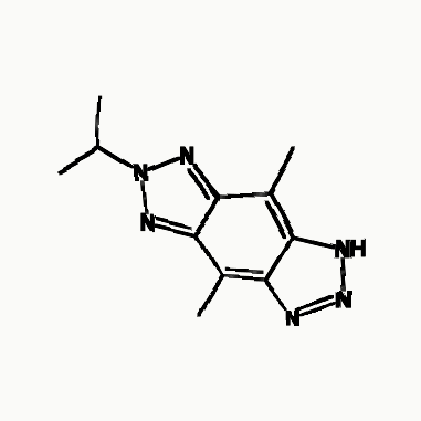 Cc1c2nn(C(C)C)nc2c(C)c2[nH]nnc12